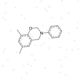 Cc1cc(C)c2c(c1)CN(c1ccccc1)CO2